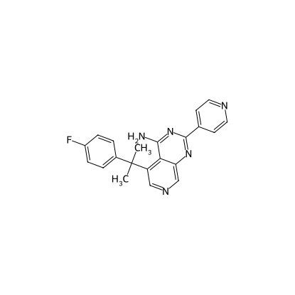 CC(C)(c1ccc(F)cc1)c1cncc2nc(-c3ccncc3)nc(N)c12